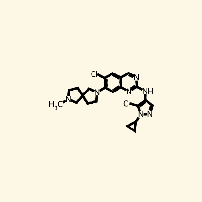 CN1CCC2(CCN(c3cc4nc(Nc5cnn(C6CC6)c5Cl)ncc4cc3Cl)C2)C1